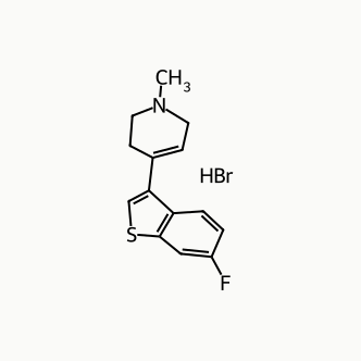 Br.CN1CC=C(c2csc3cc(F)ccc23)CC1